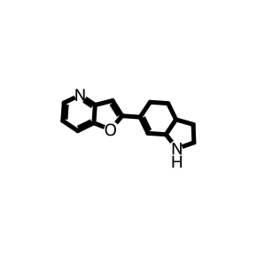 C1=C(c2cc3ncccc3o2)CCC2CCNC12